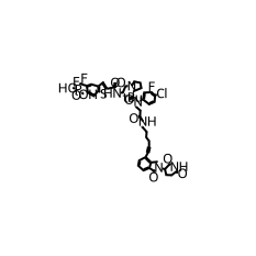 CC(C)(C)[C@H](NC(=O)c1cc2cc(C(F)(F)P(=O)(O)O)ccc2s1)C(=O)N1CCC[C@H]1C(=O)N(CCC(=O)NCCCCC#Cc1cccc2c1CN(C1CCC(=O)NC1=O)C2=O)c1ccc(Cl)c(F)c1